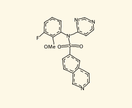 COc1c(F)cccc1N(c1ccncn1)S(=O)(=O)c1ccc2cnccc2c1